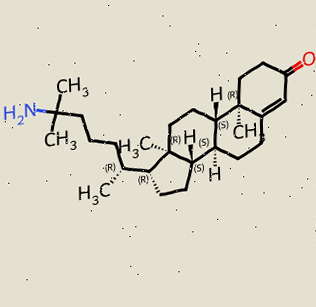 C[C@H](CCCC(C)(C)N)[C@H]1CC[C@H]2[C@@H]3CCC4=CC(=O)CC[C@]4(C)[C@H]3CC[C@]12C